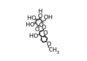 CCOc1ccc2c(O)c(O[C@@H]3O[C@H](CO)[C@H](O)[C@H](O)[C@H]3O)c(=O)oc2c1